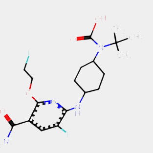 CC(C)(C)N(C(=O)O)C1CCC(Nc2nc(OCCF)c(C(N)=O)cc2F)CC1